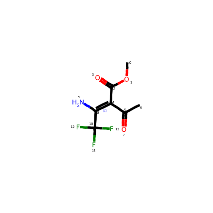 COC(=O)/C(C(C)=O)=C(\N)C(F)(F)F